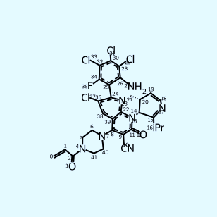 C=CC(=O)N1CCN(c2c(C#N)c(=O)n([C@H]3C(C(C)C)=NC=C[C@H]3C)c3nc(-c4c(N)c(Cl)c(Cl)c(Cl)c4F)c(Cl)cc23)CC1